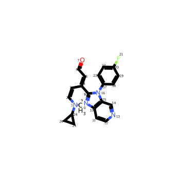 CN(/C=C\C(=C/C=O)c1nc2ccncc2n1-c1ccc(F)cc1)C1CC1